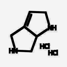 C1=C2CNCC2NC1.Cl.Cl